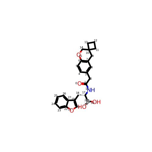 O=C(Cc1ccc2c(c1)CC1(CCC1)CO2)N[C@@H](Cc1coc2ccccc12)B(O)O